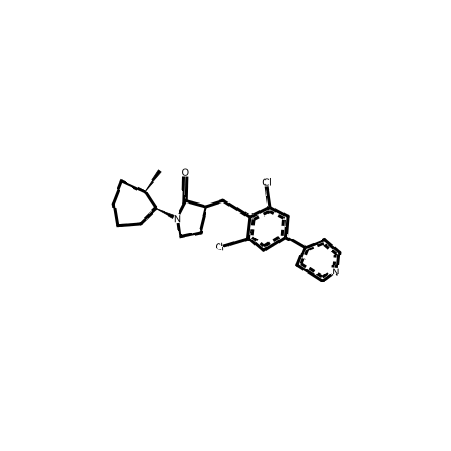 C[C@@H]1CCCC[C@@H]1N1CCC(Cc2c(Cl)cc(-c3ccncc3)cc2Cl)C1=O